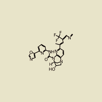 C=N/C=C(\C=C(/C)c1ccc2c(n1)N(C(=O)Nc1cccc(-c3cnco3)n1)[C@@H]1CN2C[C@H]1O)C(F)(F)F